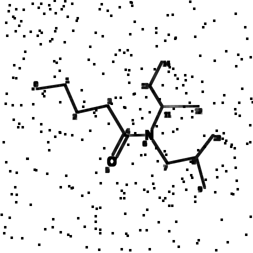 [CH2]CCCC(=O)N(CC(C)C)C(C)CC